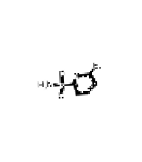 C[CH]c1cccc(S(N)(=O)=O)n1